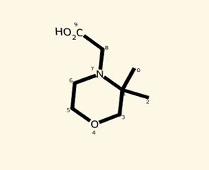 CC1(C)COCCN1CC(=O)O